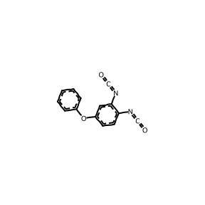 O=C=Nc1ccc(Oc2ccccc2)cc1N=C=O